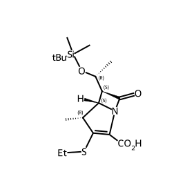 CCSC1=C(C(=O)O)N2C(=O)[C@H]([C@@H](C)O[Si](C)(C)C(C)(C)C)[C@H]2[C@H]1C